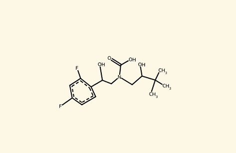 CC(C)(C)C(O)CN(CC(O)c1ccc(F)cc1F)C(=O)O